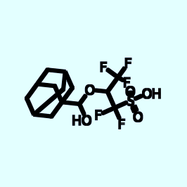 O=S(=O)(O)C(F)(F)C(OC(O)C12CC3CC(CC(C3)C1)C2)C(F)(F)F